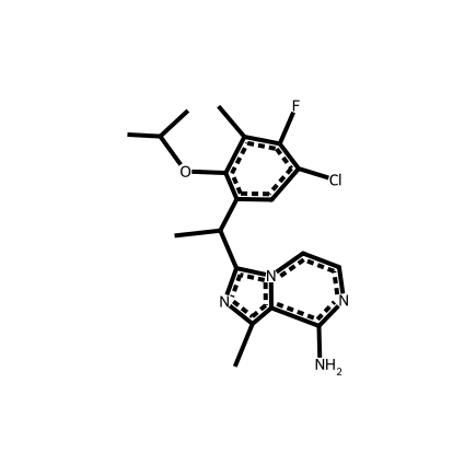 Cc1c(F)c(Cl)cc(C(C)c2nc(C)c3c(N)nccn23)c1OC(C)C